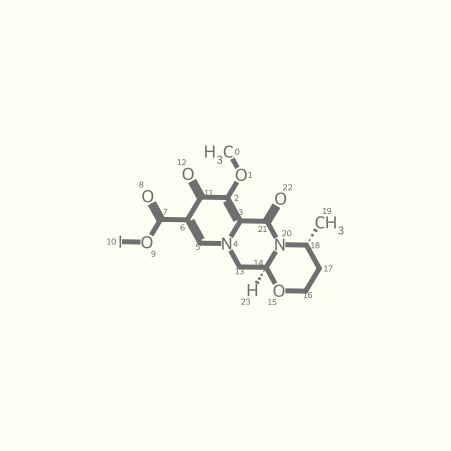 COc1c2n(cc(C(=O)OI)c1=O)C[C@@H]1OCC[C@@H](C)N1C2=O